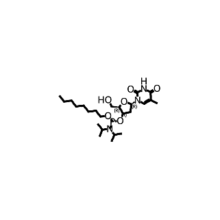 CCCCCCCCOP(O[C@@H]1C[C@H](n2cc(C)c(=O)[nH]c2=O)O[C@@H]1CO)N(C(C)C)C(C)C